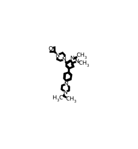 Cc1nc2c(N3CCN(C4COC4)CC3)cc(-c3ccc(N4CCN(C(C)C)CC4)cc3)cc2n1C